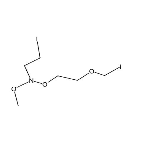 CON(CCI)OCCOCI